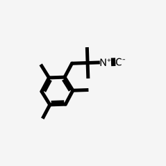 [C-]#[N+]C(C)(C)Cc1c(C)cc(C)cc1C